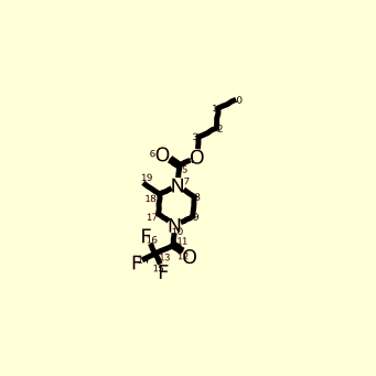 CCCCOC(=O)N1CCN(C(=O)C(F)(F)F)CC1C